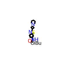 CC(C)COC(=O)Nc1ccc2nc(C3CC(N4CCCCC4)C3)sc2c1